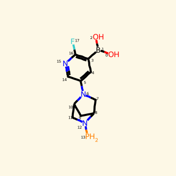 OB(O)c1cc(N2CC3CC2CN3P)cnc1F